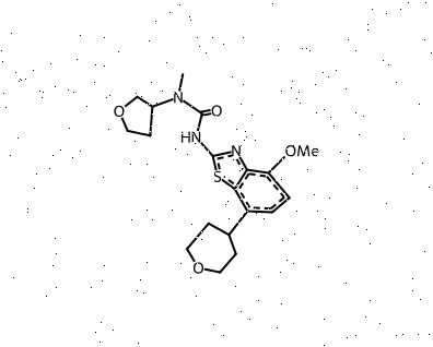 COc1ccc(C2CCOCC2)c2sc(NC(=O)N(C)C3CCOC3)nc12